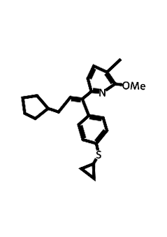 COc1nc(C(=CCC2CCCC2)c2ccc(SC3CC3)cc2)ccc1C